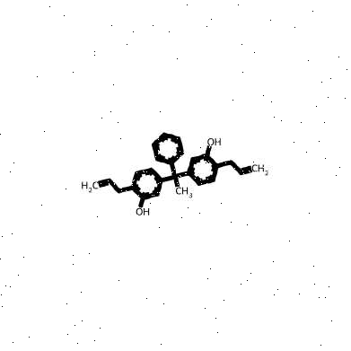 C=CCc1ccc(C(C)(c2ccccc2)c2ccc(CC=C)c(O)c2)cc1O